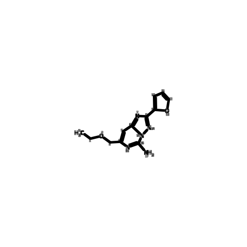 CCOCc1cc2nc(-c3ccco3)nn2c(N)n1